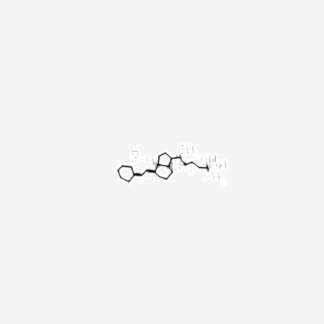 C=C1CCCC/C1=C/C=C1\CCC[C@]2(C)C([C@H](C)CCCC(C)(C)O)CC[C@@H]12